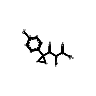 NC(=O)C(Br)C(=O)C1(c2ccc(Cl)cc2)CC1